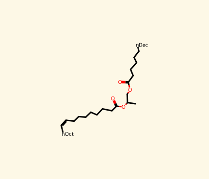 CCCCCCCC/C=C\CCCCCCCC(=O)OC(C)COC(=O)CCCCCCCCCCCCCCC